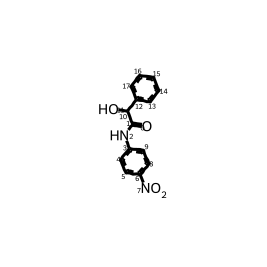 O=C(Nc1ccc([N+](=O)[O-])cc1)C(O)c1ccccc1